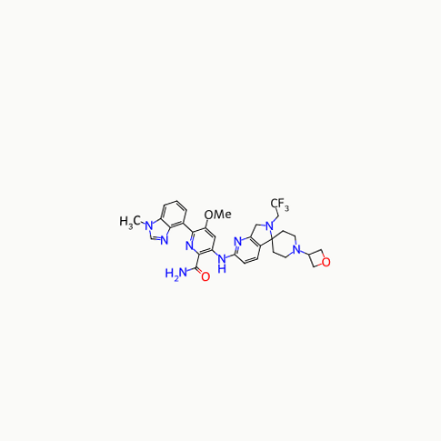 COc1cc(Nc2ccc3c(n2)CN(CC(F)(F)F)C32CCN(C3COC3)CC2)c(C(N)=O)nc1-c1cccc2c1ncn2C